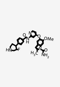 COc1cc2c(cc1Oc1ccnc(NC(=O)c3ccc(C4CCNCC4F)cc3)c1)cc(C)n2C(N)=O